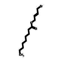 CCCCCCCCC(=O)OCC=CCBr